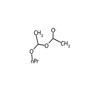 CCCOC(C)OC(C)[O]